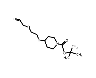 CC(C)(C)OC(=O)N1CCC(OCCOCC=O)CC1